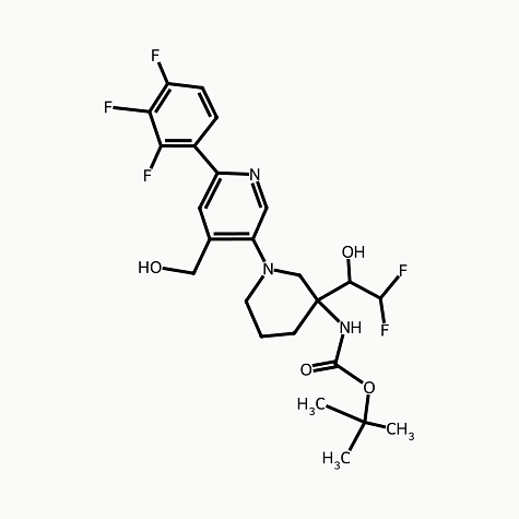 CC(C)(C)OC(=O)NC1(C(O)C(F)F)CCCN(c2cnc(-c3ccc(F)c(F)c3F)cc2CO)C1